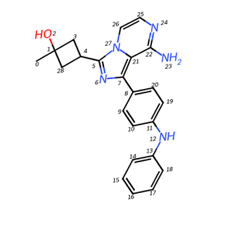 CC1(O)CC(c2nc(-c3ccc(Nc4ccccc4)cc3)c3c(N)nccn23)C1